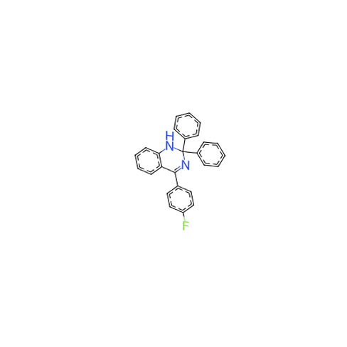 Fc1ccc(C2=NC(c3ccccc3)(c3ccccc3)Nc3ccccc32)cc1